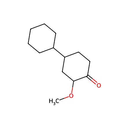 COC1CC(C2CCCCC2)CCC1=O